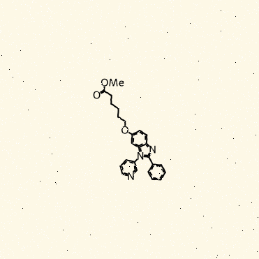 COC(=O)CCCCCOc1ccc2nc(-c3ccccc3)n(-c3cccnc3)c2c1